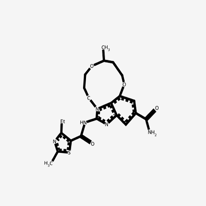 CCc1nc(C)sc1C(=O)Nc1nc2cc(C(N)=O)cc3c2n1CCCOC(C)CCO3